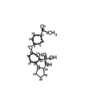 CC(=O)c1ccc(Oc2ccc3c(c2)S(O)(O)NC2CCCN32)cc1